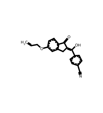 C=CCOc1ccc2c(c1)CC(=C(O)c1ccc(C#N)cc1)C2=O